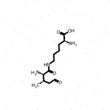 C[C@H](CC=O)[C@@H](N)C(=O)NCCCC[C@H](N)C(=O)O